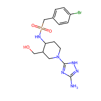 Nc1n[nH]c(N2CCC(NS(=O)(=O)Cc3ccc(Br)cc3)C(CO)C2)n1